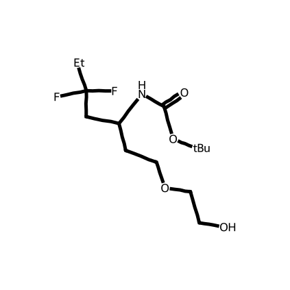 CCC(F)(F)CC(CCOCCO)NC(=O)OC(C)(C)C